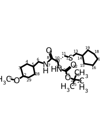 COC1CCC(CNC(=O)[C@H](CSCC2CCCCC2)NC(=O)OC(C)(C)C)CC1